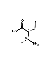 CC[C@@H](C(=O)O)[C@@H](C)N